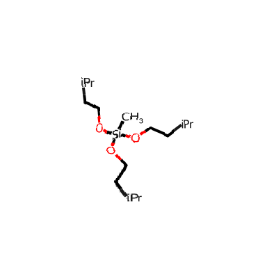 CC(C)CCO[Si](C)(OCCC(C)C)OCCC(C)C